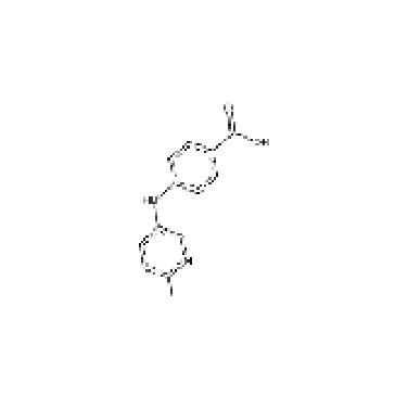 Cc1ccc(Nc2ccc(C(=O)O)cc2)cn1